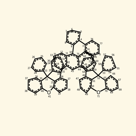 c1ccc(-c2ccccc2-c2c3cccc(-c4cccc5c4C(c4ccccc4)(c4ccccc4)c4ccccc4O5)c3cc3c(-c4cccc5c4C(c4ccccc4)(c4ccccc4)c4ccccc4O5)cccc23)cc1